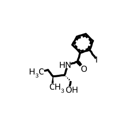 CC[C@H](C)[C@@H](CO)NC(=O)c1ccccc1I